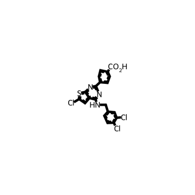 O=C(O)c1ccc(-c2nc(NCc3ccc(Cl)c(Cl)c3)c3cc(Cl)sc3n2)cc1